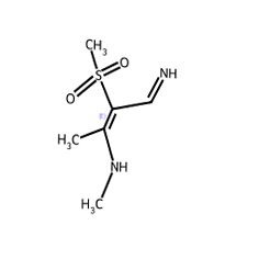 CN/C(C)=C(\C=N)S(C)(=O)=O